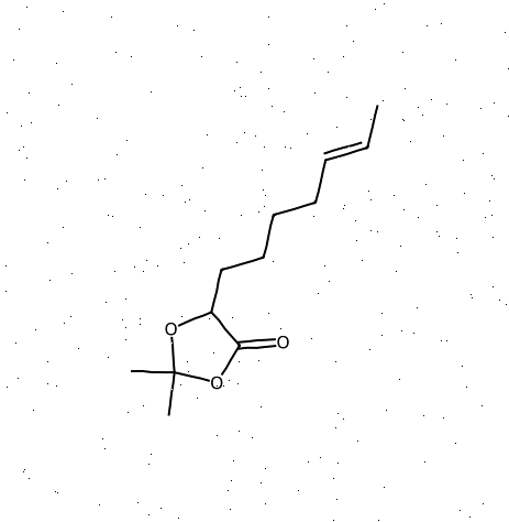 CC=CCCCCC1OC(C)(C)OC1=O